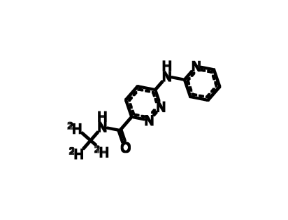 [2H]C([2H])([2H])NC(=O)c1ccc(Nc2ccccn2)nn1